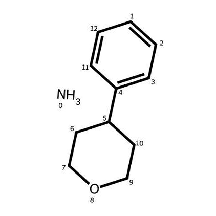 N.c1ccc(C2CCOCC2)cc1